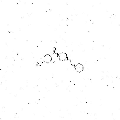 CC(=O)[C@H]1CC[C@H](C(=O)N2CCN(CCN3CCCCC3)CC2)CC1